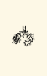 CS(=O)(=O)c1ncc(-c2cc3c(-c4cc5c(-c6ccccc6F)nccc5[nH]4)n[nH]c3cn2)n1S(C)(=O)=O